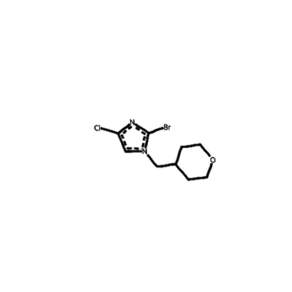 Clc1cn(CC2CCOCC2)c(Br)n1